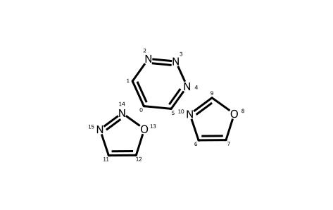 c1cnnnc1.c1cocn1.c1conn1